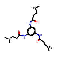 C[SiH2]CCC(=O)Nc1cc(NC(=O)CC[SiH](C)C)cc(NC(=O)CC[SiH](C)C)c1